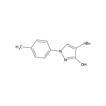 CCCCc1cn(-c2ccc(C)cc2)nc1O